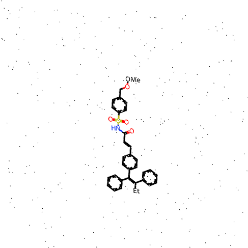 CC/C(=C(\c1ccccc1)c1ccc(/C=C/C(=O)NS(=O)(=O)c2ccc(COOC)cc2)cc1)c1ccccc1